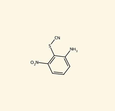 N#CSc1c(N)cccc1[N+](=O)[O-]